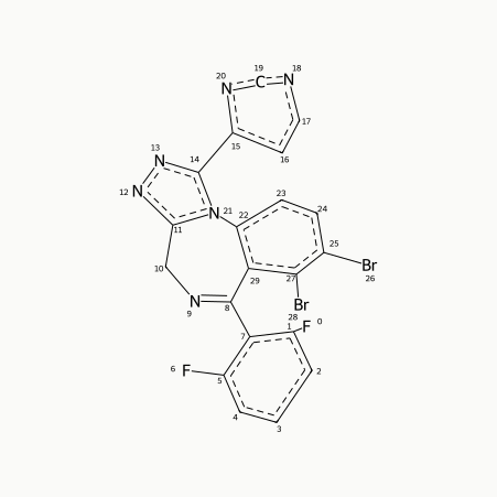 Fc1cccc(F)c1C1=NCc2nnc(-c3ccncn3)n2-c2ccc(Br)c(Br)c21